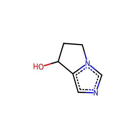 OC1CCn2cncc21